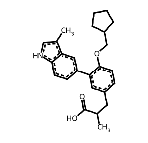 Cc1c[nH]c2ccc(-c3cc(CC(C)C(=O)O)ccc3OCC3CCCC3)cc12